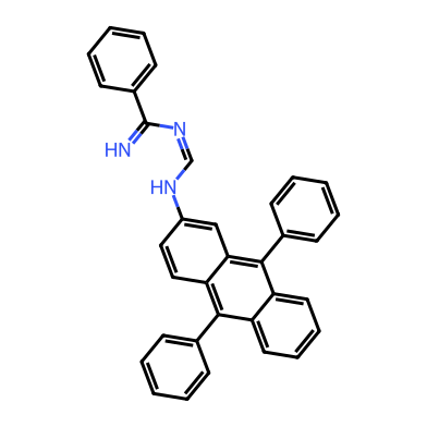 N=C(/N=C\Nc1ccc2c(-c3ccccc3)c3ccccc3c(-c3ccccc3)c2c1)c1ccccc1